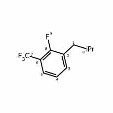 CC(C)Cc1cccc(C(F)(F)F)c1F